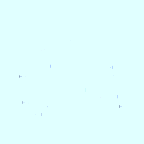 CNC(=O)c1n[nH]c2cc(-c3cnc(OC)c(C(=O)NCC(C)(C)C(=O)OC(C)(C)C)c3)cc(F)c12